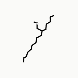 CCCCCCCCCC(CCCCC)COC